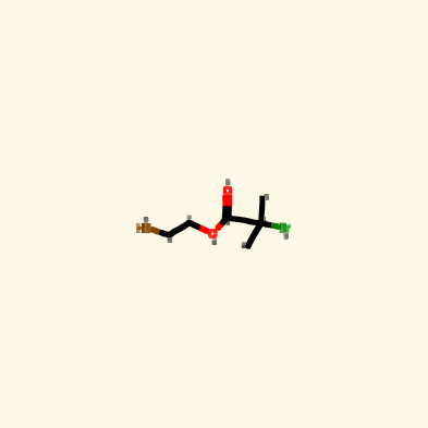 CC(C)(Br)C(=O)OCCS